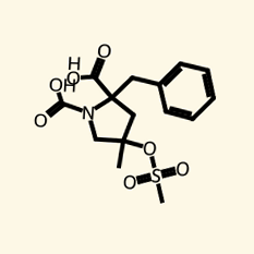 CC1(OS(C)(=O)=O)CN(C(=O)O)C(Cc2ccccc2)(C(=O)O)C1